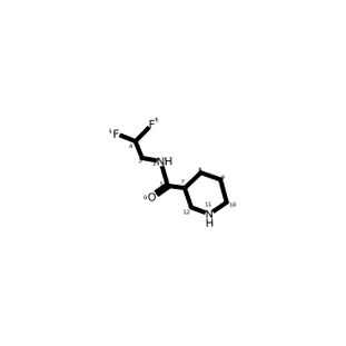 O=C(NCC(F)F)C1CCCNC1